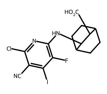 N#Cc1c(Cl)nc(NC2C3CCC(CC3)C2C(=O)O)c(F)c1I